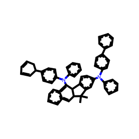 CC1(C)c2cc(N(c3ccccc3)c3ccc(-c4ccccc4)cc3)ccc2C2C(N(c3ccccc3)c3ccc(C4C=CC=CC4)cc3)=c3ccccc3=CC21